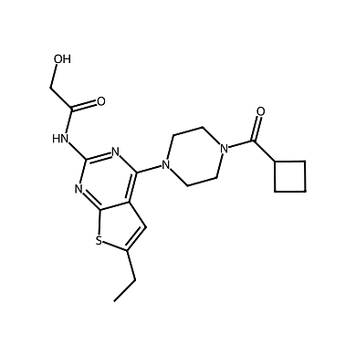 CCc1cc2c(N3CCN(C(=O)C4CCC4)CC3)nc(NC(=O)CO)nc2s1